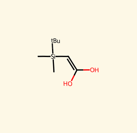 CC(C)(C)[Si](C)(C)C=C(O)O